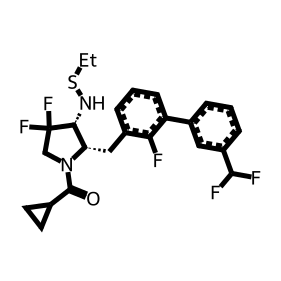 CCSN[C@@H]1[C@H](Cc2cccc(-c3cccc(C(F)F)c3)c2F)N(C(=O)C2CC2)CC1(F)F